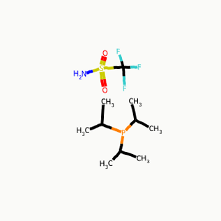 CC(C)P(C(C)C)C(C)C.NS(=O)(=O)C(F)(F)F